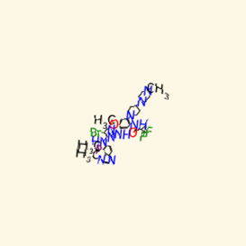 COc1cc(N2CCC(N3CCN(C)CC3)CC2)c(NC(=O)C2CC2(F)F)cc1Nc1ncc(Br)c(Nc2ccc3nccnc3c2P(C)C)n1